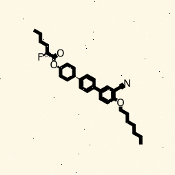 CCCCCCCOc1ccc(-c2ccc([C@H]3CC[C@H](OC(=O)[C@@H](F)CCCC)CC3)cc2)cc1C#N